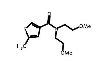 COCCN(CCOC)C(=O)c1csc(C)c1